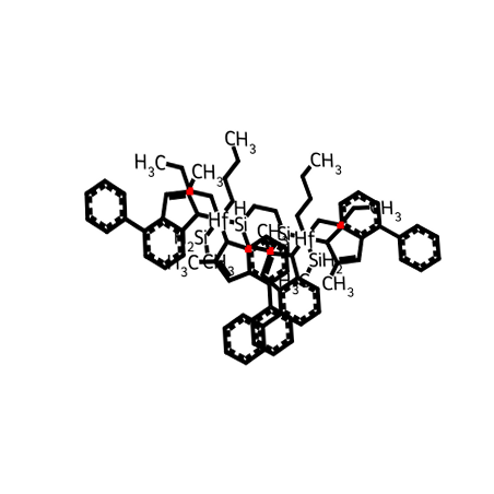 CCC[CH2][Hf]([CH2]CCC)([SiH2]C)([CH]1C(C)=Cc2c(-c3ccccc3)cccc21)([CH]1C(C)=Cc2c(-c3ccccc3)cccc21)[SiH]1CC[SiH]([Hf]([CH2]CCC)([CH2]CCC)([SiH2]C)([CH]2C(C)=Cc3c(-c4ccccc4)cccc32)[CH]2C(C)=Cc3c(-c4ccccc4)cccc32)CC1